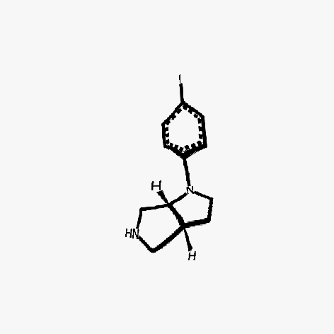 Ic1ccc(N2CC[C@@H]3CNC[C@@H]32)cc1